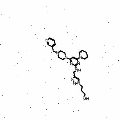 OCCCn1cc(CNc2nc(N3CCCCC3)cc(N3CCN(Cc4cccnc4)CC3)n2)nn1